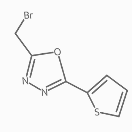 BrCc1nnc(-c2cccs2)o1